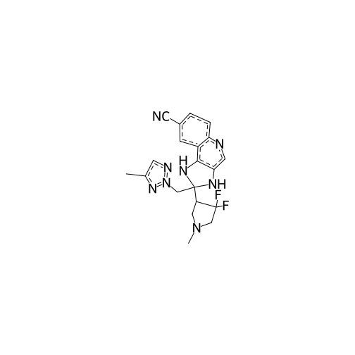 Cc1cnn(CC2(C3CN(C)CC3(F)F)Nc3cnc4ccc(C#N)cc4c3N2)n1